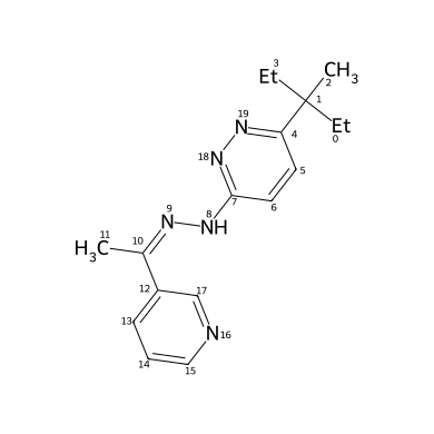 CCC(C)(CC)c1ccc(NN=C(C)c2cccnc2)nn1